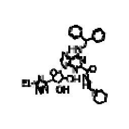 CCn1nnc([C@H]2O[C@@H](n3cnc4c(NCC(c5ccccc5)c5ccccc5)nc(C(=O)NCCN5CCCCC5)nc43)[C@@H](O)[C@@H]2O)n1